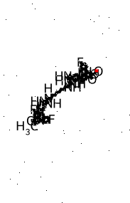 Cc1cn(-c2ccc(F)cc2F)c2nc(N3CCN(NC(=N)NCCCCCCCCNC(=N)NC(=N)N4CCN(C5=NC6C(C=C5F)C(=O)C(OC=O)=CN6c5ccc(F)cc5F)CC4)CC3)c(F)cc2c1=O